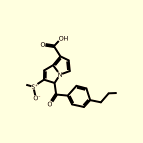 CCCc1ccc(C(=O)C2C([S+](C)[O-])=Cc3c(C(=O)O)ccn32)cc1